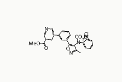 CCOC(=O)N(c1ccccc1Cl)c1c(C)noc1-c1cccc(-c2cncc(C(=O)OC)c2)c1